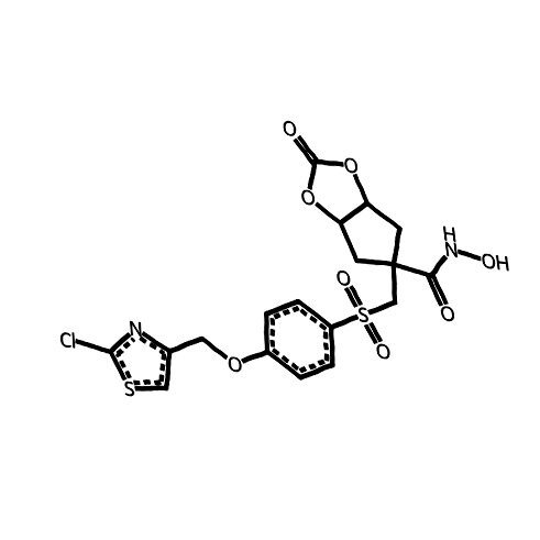 O=C1OC2CC(CS(=O)(=O)c3ccc(OCc4csc(Cl)n4)cc3)(C(=O)NO)CC2O1